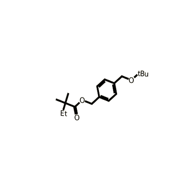 CCC(C)(C)C(=O)OCc1ccc(COC(C)(C)C)cc1